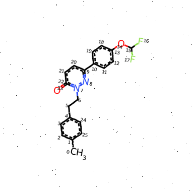 Cc1ccc(CCn2nc(-c3ccc(OC(F)F)cc3)ccc2=O)cc1